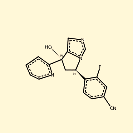 N#Cc1ccc([C@H]2C[C@@](O)(c3ccccn3)c3cncn32)c(F)c1